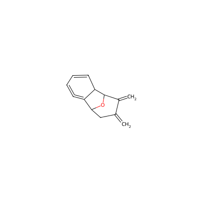 C=C1CC2OC(C1=C)C1C=CC=C=C21